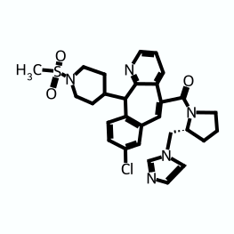 CS(=O)(=O)N1CCC(C2c3ccc(Cl)cc3C=C(C(=O)N3CCC[C@@H]3Cn3ccnc3)c3cccnc32)CC1